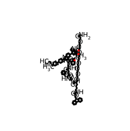 C#CCNC1(C)CCN(C2CCN(c3nc(C(COCNC(=O)CNC(=O)[C@H](Cc4ccccc4)NC(=O)CNC(=O)C(CCCCNC(=O)OCC4c5ccccc5-c5ccccc54)COCCOCCOCCOCCOCCOCCOCCOCCC(N)=O)(OC4CC4)c4ccccc4)c4cc(-c5cn(C)c(=O)c6[nH]ccc56)ccc4n3)CC2)CC1